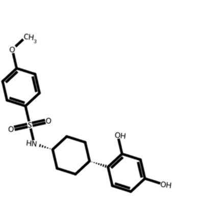 COc1ccc(S(=O)(=O)N[C@H]2CC[C@@H](c3ccc(O)cc3O)CC2)cc1